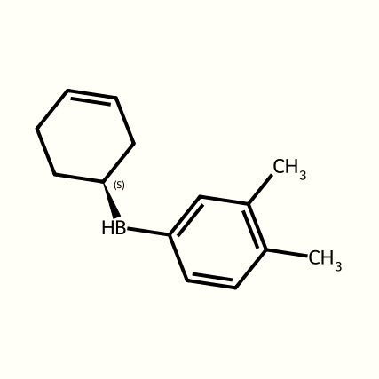 Cc1ccc(B[C@@H]2CC=CCC2)cc1C